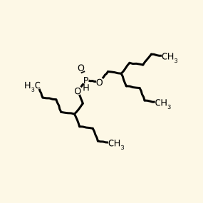 CCCCC(CCCC)CO[PH](=O)OCC(CCCC)CCCC